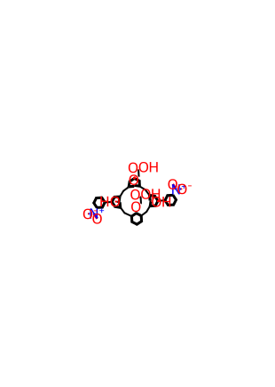 O=C(O)COc1c2cccc1Cc1cc(-c3cccc([N+](=O)[O-])c3)cc(c1O)Cc1cccc(c1OCC(=O)O)Cc1cc(-c3cccc([N+](=O)[O-])c3)cc(c1O)C2